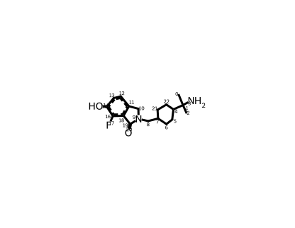 CC(C)(N)C1CCC(CN2Cc3ccc(O)c(F)c3C2=O)CC1